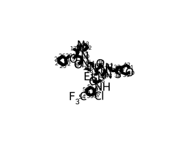 CCc1c(N2CCN(C(=O)c3nc4ccnn4c(C)c3OCc3ccccc3)CC2)c(=O)n2nc(-c3cc4c(s3)COCC4)nc2n1CC(=O)Nc1ccc(C(F)(F)F)cc1Cl